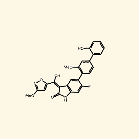 COc1cc(C(O)=C2C(=O)Nc3cc(F)c(-c4ccc(-c5ccccc5O)cc4OC)cc32)on1